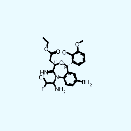 Bc1ccc2c(c1)[C@@H](c1cccc(OC)c1Cl)O[C@H](CC(=O)OCC)C(=N)N2C(N)C(F)Cl